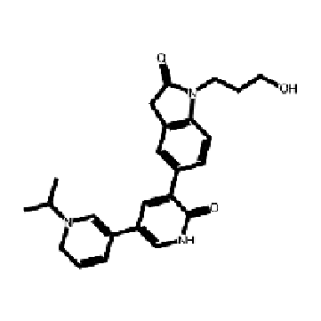 CC(C)N1C=C(c2c[nH]c(=O)c(-c3ccc4c(c3)CC(=O)N4CCCO)c2)C=CC1